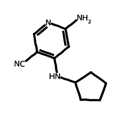 N#Cc1cnc(N)cc1NC1CCCC1